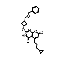 O=c1cc(CCCC2CC2)c2c(=O)[nH]c(O[C@H]3C[C@@H](COCc4ccccc4)C3)nc2o1